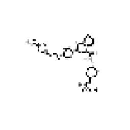 CN1CCN(CCOc2ccc(-c3cc(C(=O)NCC4CCC(CNC(=O)O)CC4)c4ccccc4n3)cn2)CC1